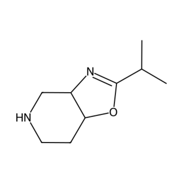 CC(C)C1=NC2CNCCC2O1